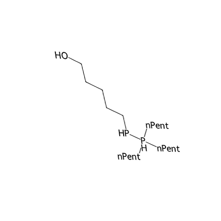 CCCCC[PH](CCCCC)(CCCCC)PCCCCCO